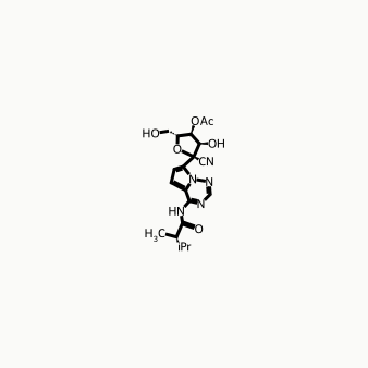 CC(=O)O[C@H]1[C@@H](O)[C@](C#N)(c2ccc3c(NC(=O)[C@@H](C)C(C)C)ncnn23)O[C@@H]1CO